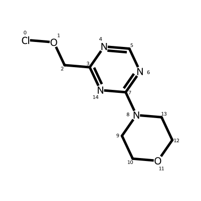 ClOCc1ncnc(N2CCOCC2)n1